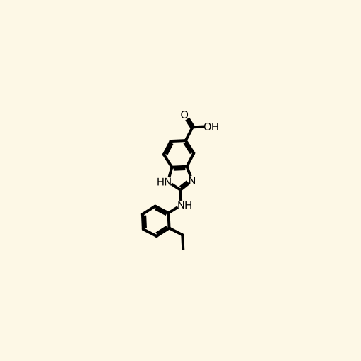 CCc1ccccc1Nc1nc2cc(C(=O)O)ccc2[nH]1